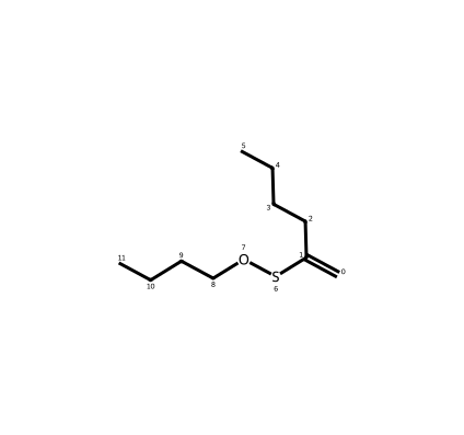 C=C(CCCC)SOCCCC